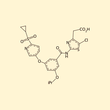 CC(C)Oc1cc(Oc2ccc(S(=O)(=O)C3CC3)nc2)cc(C(=O)Nc2nc(CC(=O)O)c(Cl)s2)c1